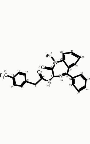 CC(C)N1C(=O)[C@H](NC(=O)Cc2ccc(C(F)(F)F)cc2)N=C(c2ccccc2)c2ccccc21